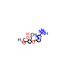 CCCc1c(OCC2=CC=CN3CC(c4nnn[nH]4)=CN=C23)ccc(C(C)=O)c1O